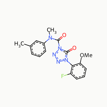 COc1cccc(F)c1-n1nnn(C(=O)N(C)c2cccc(C)c2)c1=O